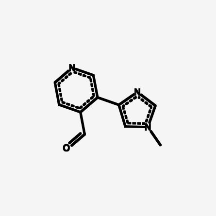 Cn1cnc(-c2cnccc2C=O)c1